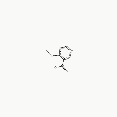 CSc1ccncc1[N+](=O)[O-]